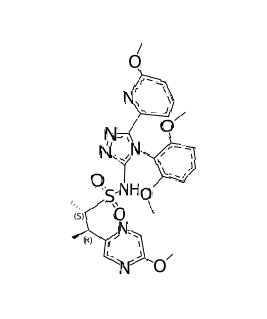 COc1cnc([C@@H](C)[C@H](C)S(=O)(=O)Nc2nnc(-c3cccc(OC)n3)n2-c2c(OC)cccc2OC)cn1